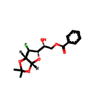 CC1(C)O[C@H]2O[C@@H]([C@H](O)COC(=O)c3ccccc3)[C@H](F)[C@H]2O1